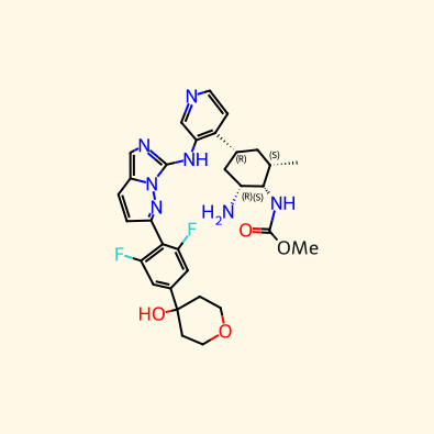 COC(=O)N[C@@H]1[C@H](N)C[C@H](c2ccncc2Nc2ncc3ccc(-c4c(F)cc(C5(O)CCOCC5)cc4F)nn23)C[C@@H]1C